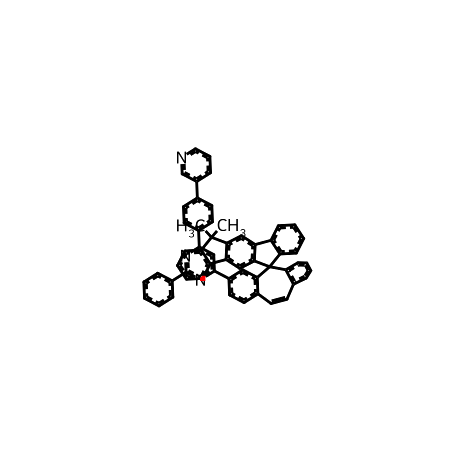 CC1(C)c2ccccc2-c2cc3c(cc21)-c1ccccc1C31c2ccccc2C=Cc2ccc(-c3cc(-c4ccc(-c5cccnc5)cc4)nc(-c4ccccc4)n3)cc21